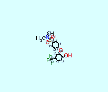 CN(C)S(=O)(=O)c1ccc(Oc2cc(C(F)(F)F)ccc2O)cc1